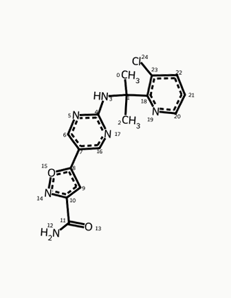 CC(C)(Nc1ncc(-c2cc(C(N)=O)no2)cn1)c1ncccc1Cl